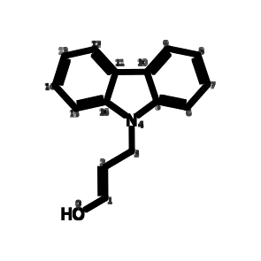 OC=CCn1c2ccccc2c2ccccc21